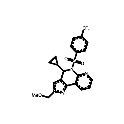 COCn1cc2c(n1)-c1cccnc1N(S(=O)(=O)c1ccc(C(F)(F)F)cc1)C2C1CC1